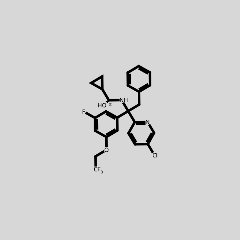 O[C@H](NC(Cc1ccccc1)(c1cc(F)cc(OCC(F)(F)F)c1)c1ccc(Cl)cn1)C1CC1